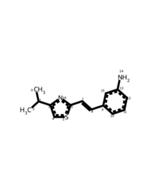 CC(C)c1csc(C=Cc2cccc(N)c2)n1